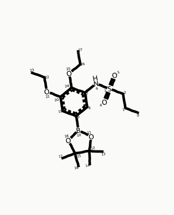 CCCS(=O)(=O)Nc1cc(B2OC(C)(C)C(C)(C)O2)cc(OCC)c1OCC